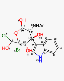 CC(=O)N[C@H]1[C@H](O)O[C@](Br)(C(O)Cl)[C@@H](O)[C@@]1(O)c1c[nH]c2ccccc12